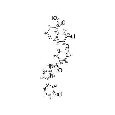 O=C(Nc1nc(-c2cccc(Cl)c2)cs1)c1ccc(Oc2cc3c(cc2Cl)C(C(=O)O)CCO3)cc1